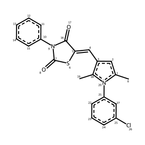 Cc1cc(C=C2SC(=O)N(c3ccccc3)C2=O)c(C)n1-c1cccc(Cl)c1